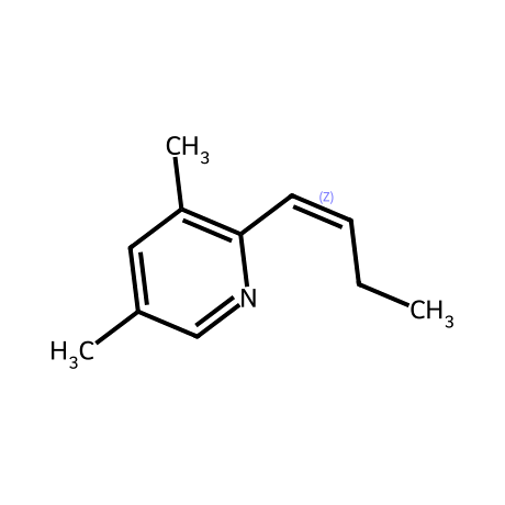 CC/C=C\c1ncc(C)cc1C